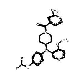 COc1ccncc1N(c1ccc(OC(F)F)cc1)C1CCN(C(=O)c2ccnc(C)c2)CC1